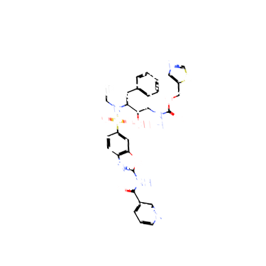 CC(C)CN(C(Cc1ccccc1)C(O)CNC(=O)OCc1cncs1)S(=O)(=O)c1ccc2nc(NC(=O)c3cccnc3)oc2c1